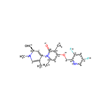 CC1=CN(C)[C@@H](C=O)C=C1n1c(C)cc(OCc2ncc(F)cc2F)c(C)c1=O